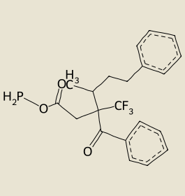 CC(CCc1ccccc1)C(CC(=O)OP)(C(=O)c1ccccc1)C(F)(F)F